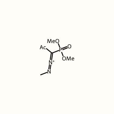 CN=[N+]=C(C(C)=O)P(=O)(OC)OC